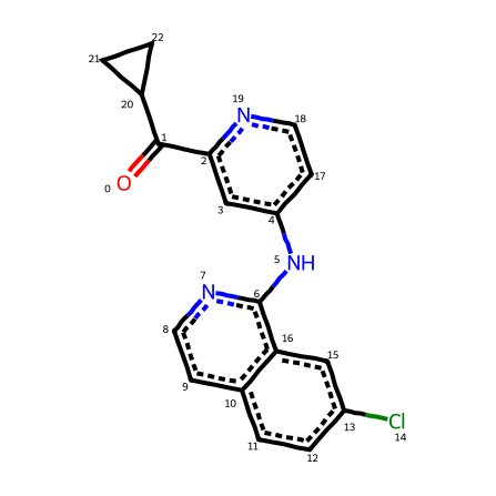 O=C(c1cc(Nc2nccc3ccc(Cl)cc23)ccn1)C1CC1